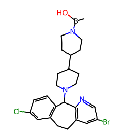 CB(O)N1CCC(C2CCN(C3c4ccc(Cl)cc4CCc4cc(Br)cnc43)CC2)CC1